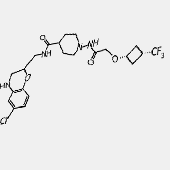 O=C(CO[C@H]1C[C@@H](C(F)(F)F)C1)NN1CCC(C(=O)NCC2CNc3cc(Cl)ccc3O2)CC1